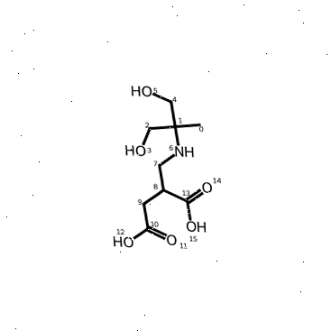 CC(CO)(CO)NCC(CC(=O)O)C(=O)O